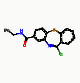 CC(C)CNC(=O)c1ccc2c(c1)N=C(Cl)c1ccccc1S2